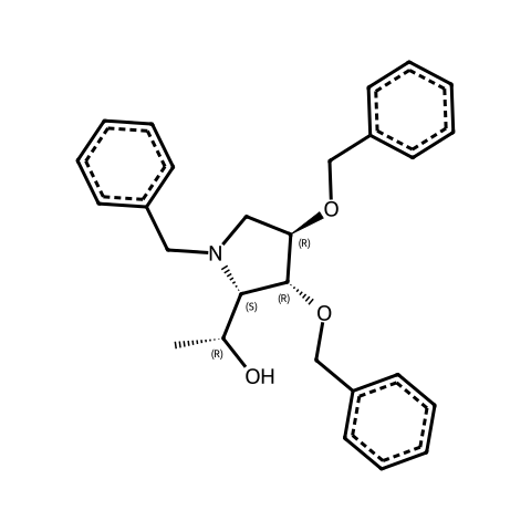 C[C@@H](O)[C@H]1[C@@H](OCc2ccccc2)[C@H](OCc2ccccc2)CN1Cc1ccccc1